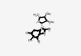 CC(=O)O[C@@H]1[C@H](OC(C)=O)[C@@H](C)O[C@H]1n1c(Br)nc2c(Br)c(Cl)c(Cl)cc21